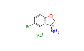 Cl.N[C@@H]1COc2ccc(Br)cc21